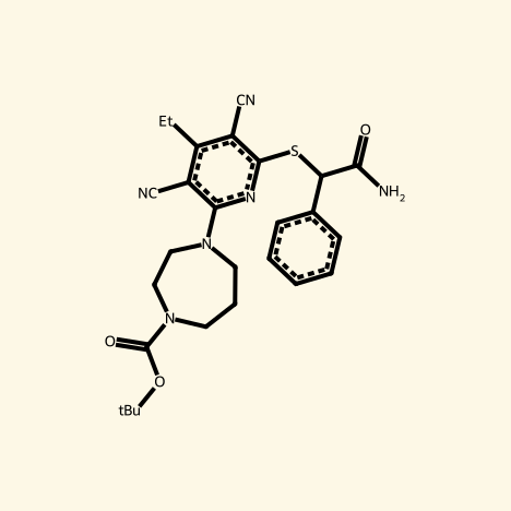 CCc1c(C#N)c(SC(C(N)=O)c2ccccc2)nc(N2CCCN(C(=O)OC(C)(C)C)CC2)c1C#N